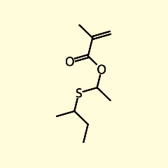 C=C(C)C(=O)OC(C)SC(C)CC